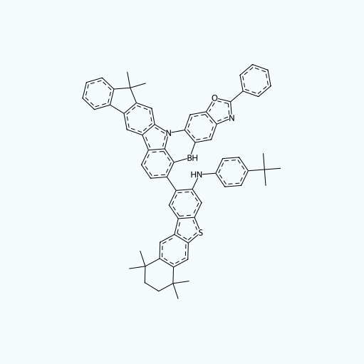 CC(C)(C)c1ccc(Nc2cc3sc4cc5c(cc4c3cc2-c2ccc3c4cc6c(cc4n4c3c2Bc2cc3nc(-c7ccccc7)oc3cc2-4)C(C)(C)c2ccccc2-6)C(C)(C)CCC5(C)C)cc1